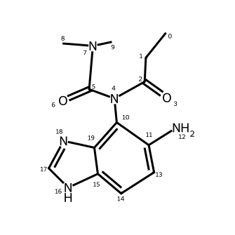 CCC(=O)N(C(=O)N(C)C)c1c(N)ccc2[nH]cnc12